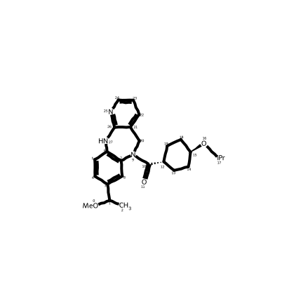 COC(C)c1ccc2c(c1)N(C(=O)[C@H]1CC[C@H](OC(C)C)CC1)Cc1cccnc1N2